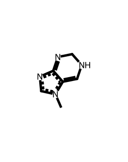 Cn1cnc2c1=CNCN=2